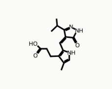 Cc1c[nH]c(C=C2C(=O)NN=C2C(C)C)c1CCC(=O)O